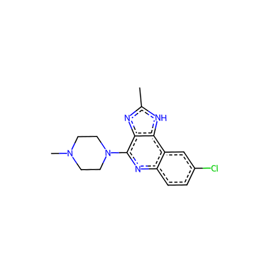 Cc1nc2c(N3CCN(C)CC3)nc3ccc(Cl)cc3c2[nH]1